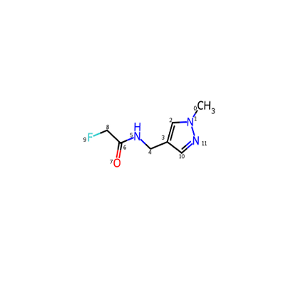 Cn1cc(CNC(=O)CF)cn1